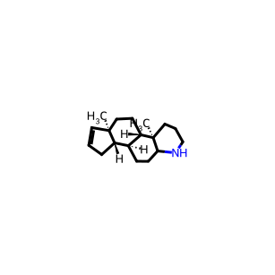 C[C@@]12C=CC[C@H]1[C@@H]1CCC3NCCC[C@]3(C)[C@H]1CC2